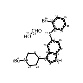 CCC(C)N1CCC(c2c[nH]c3ccc(Sc4ccccc4Br)cc23)CC1.O=CO